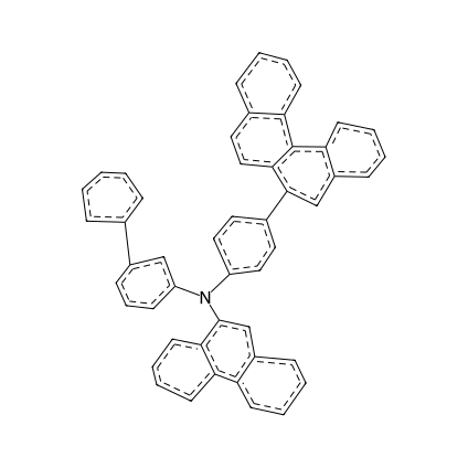 c1ccc(-c2cccc(N(c3ccc(-c4cc5ccccc5c5c4ccc4ccccc45)cc3)c3cc4ccccc4c4ccccc34)c2)cc1